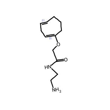 NCCNC(=O)CO/C1=C/C/C=C/CCC1